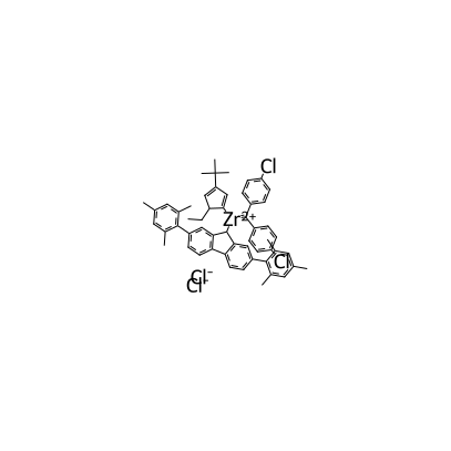 CCC1C=C(C(C)(C)C)C=[C]1[Zr+2](=[C](c1ccc(Cl)cc1)c1ccc(Cl)cc1)[CH]1c2cc(-c3c(C)cc(C)cc3C)ccc2-c2ccc(-c3c(C)cc(C)cc3C)cc21.[Cl-].[Cl-]